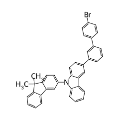 CC1(C)c2ccccc2-c2cc(-n3c4ccccc4c4cc(-c5cccc(-c6ccc(Br)cc6)c5)ccc43)ccc21